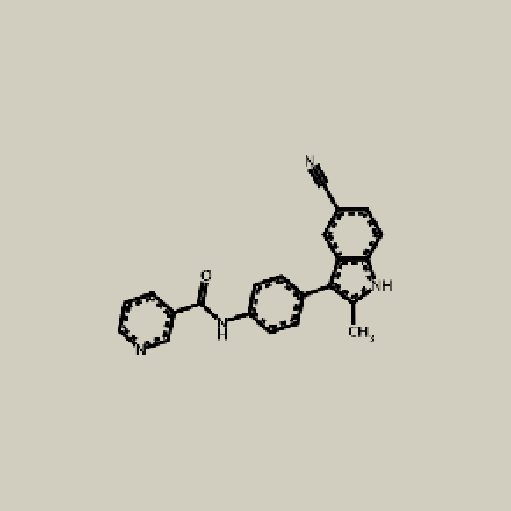 Cc1[nH]c2ccc(C#N)cc2c1-c1ccc(NC(=O)c2cccnc2)cc1